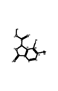 COC(=O)C1OC(=O)c2ccc(Br)c(I)c21